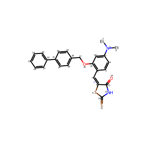 CCN(CC)c1ccc(/C=C2/SC(=S)NC2=O)c(OCc2ccc(-c3ccccc3)cc2)c1